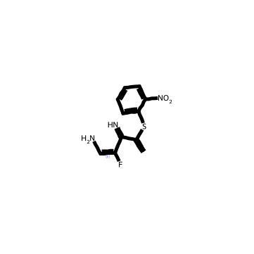 C=C(Sc1ccccc1[N+](=O)[O-])C(=N)/C(F)=C\N